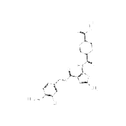 COC(=O)C1CCC(C(=O)Nc2sc(C)cc2C(=O)NCc2ccc(OC)c(Cl)c2)CC1